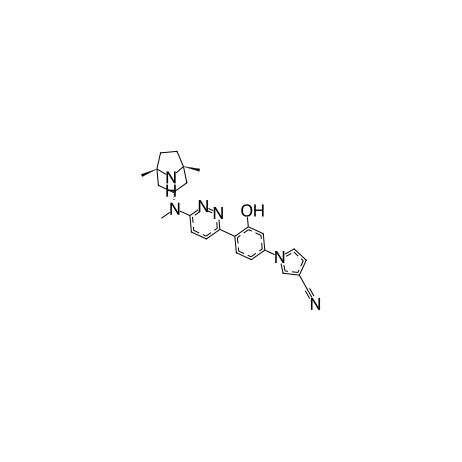 CN(c1ccc(-c2ccc(-n3ccc(C#N)c3)cc2O)nn1)[C@@H]1C[C@]2(C)CC[C@](C)(C1)N2